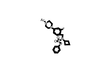 CC(=O)N1CCN(c2ccc(CN(C3CCC3)S(=O)(=O)Oc3ccccc3)c(F)c2)CC1